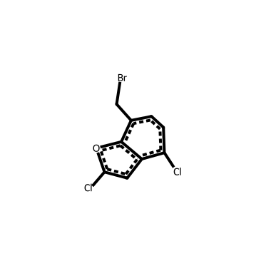 Clc1cc2c(Cl)ccc(CBr)c2o1